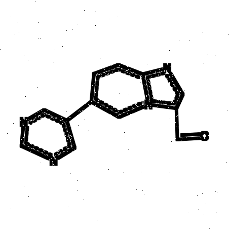 O=Cc1cnc2ccc(-c3cncnc3)cn12